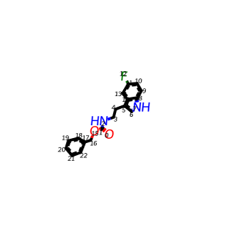 O=C(NCCc1c[nH]c2ccc(F)cc12)OCc1ccccc1